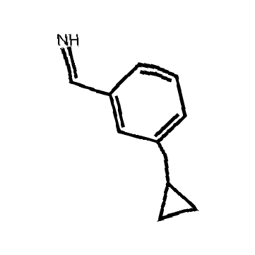 N=Cc1cccc(C2CC2)c1